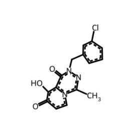 Cc1nn(Cc2cccc(Cl)c2)c(=O)c2c(O)c(=O)ccn12